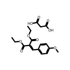 CCOC(=O)C(=Cc1ccc(OC)cc1)C(=O)OCC.O=C(O)CC(=O)O